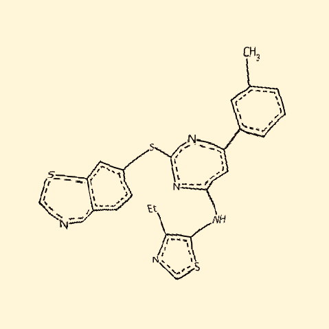 CCc1ncsc1Nc1cc(-c2cccc(C)c2)nc(Sc2ccc3ncsc3c2)n1